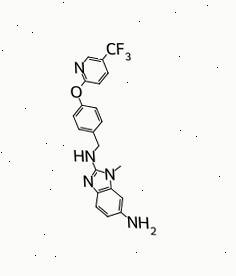 Cn1c(NCc2ccc(Oc3ccc(C(F)(F)F)cn3)cc2)nc2ccc(N)cc21